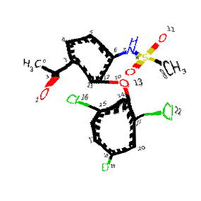 CC(=O)c1ccc(NS(C)(=O)=O)c(Oc2c(Cl)cc(Cl)cc2Cl)c1